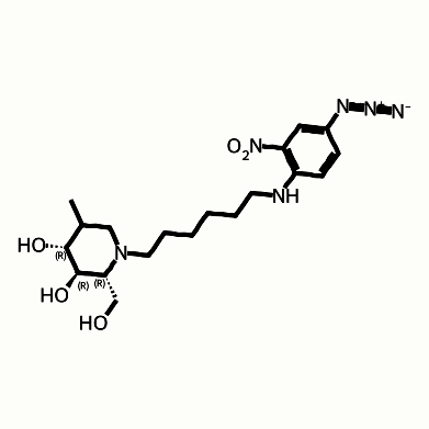 CC1CN(CCCCCCNc2ccc(N=[N+]=[N-])cc2[N+](=O)[O-])[C@H](CO)[C@@H](O)[C@@H]1O